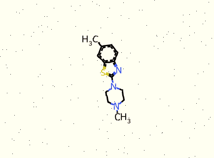 Cc1ccc2nc(N3CCN(C)CC3)sc2c1